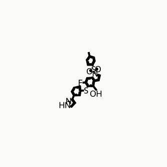 Cc1ccc(S(=O)(=O)n2ccc3c(CO)c(Sc4cccc(-c5cc[nH]n5)c4)c(F)cc32)cc1